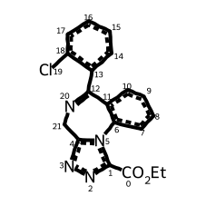 CCOC(=O)c1nnc2n1-c1ccccc1C(c1ccccc1Cl)=NC2